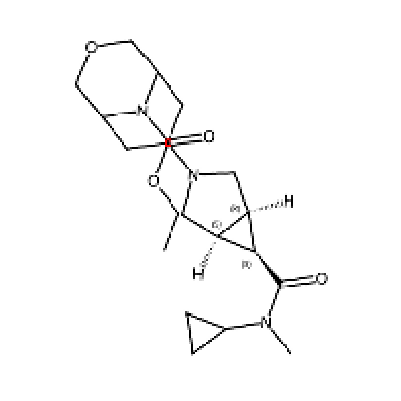 CCOC(=O)N1C2COCC1CC(N1C[C@@H]3[C@H](C1)[C@@H]3C(=O)N(C)C1CC1)C2